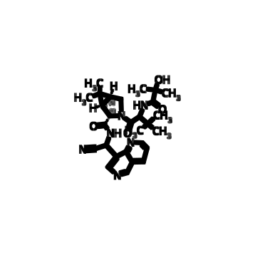 CC(C)(O)C(=O)NC(C(=O)N1C[C@H]2[C@@H]([C@H]1C(=O)NC(C#N)c1cncc3cccnc13)C2(C)C)C(C)(C)C